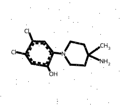 CC1(N)CCN(c2cc(Cl)c(Cl)cc2O)CC1